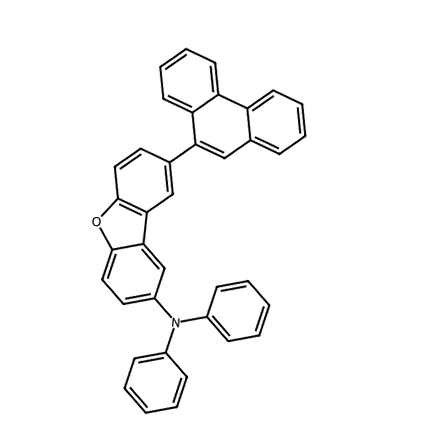 c1ccc(N(c2ccccc2)c2ccc3oc4ccc(-c5cc6ccccc6c6ccccc56)cc4c3c2)cc1